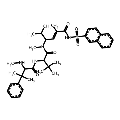 CNC(C(=O)NC(C(=O)N(C)C(C=C(C)C(=O)NS(=O)(=O)c1ccc2ccccc2c1)C(C)C)C(C)(C)C)C(C)(C)c1ccccc1